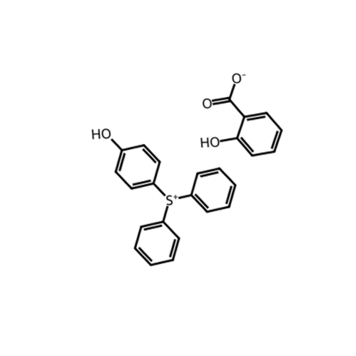 O=C([O-])c1ccccc1O.Oc1ccc([S+](c2ccccc2)c2ccccc2)cc1